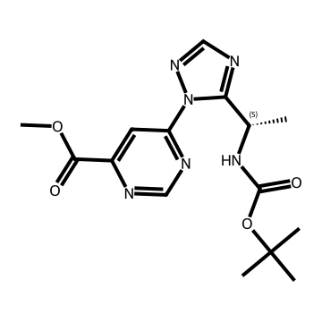 COC(=O)c1cc(-n2ncnc2[C@H](C)NC(=O)OC(C)(C)C)ncn1